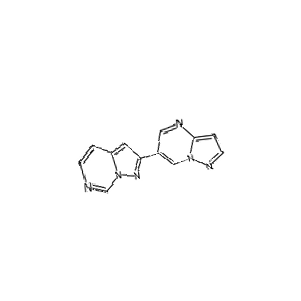 c1cc2cc(-c3cnc4ccnn4c3)nn2cn1